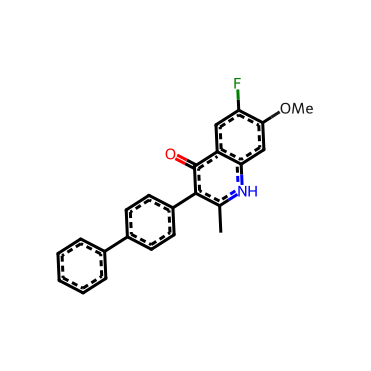 COc1cc2[nH]c(C)c(-c3ccc(-c4ccccc4)cc3)c(=O)c2cc1F